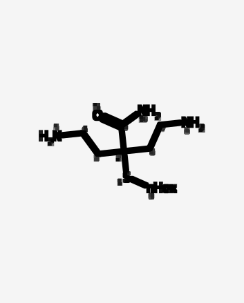 CCCCCCSC(CCN)(CCN)C(N)=O